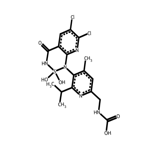 Cc1cc(CNC(=O)O)nc(C(C)C)c1N1c2nc(Cl)c(Cl)cc2C(=O)NS1(O)O